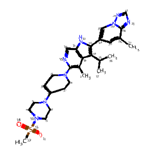 Cc1c(N2CCC(N3CCN(S(C)(=O)=O)CC3)CC2)ncc2[nH]c(-c3cc(C)c4ncnn4c3)c(C(C)C)c12